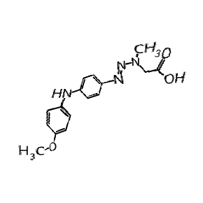 COc1ccc(Nc2ccc(/N=N/N(C)CC(=O)O)cc2)cc1